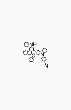 N#Cc1ccc(-n2c3ccccc3c3cc(-c4cc5[nH]c6ccccc6c5c5c6ccccc6c6c7ccccc7oc6c45)ccc32)cc1